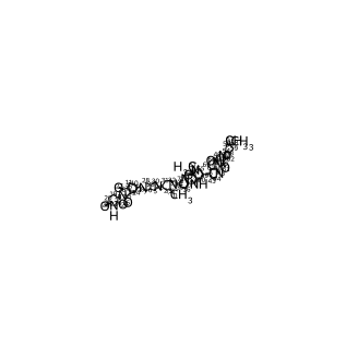 C[C@H]1CC(N2CC3CN(c4ccc5c(c4)C(=O)N(C4CCC(=O)NC4=O)C5=O)CC3C2)CCN1c1ccc(Nc2cc(-c3ccnc(N4CCn5c(cc6c5CC(C)(C)C6)C4=O)c3CO)cn(C)c2=O)nc1